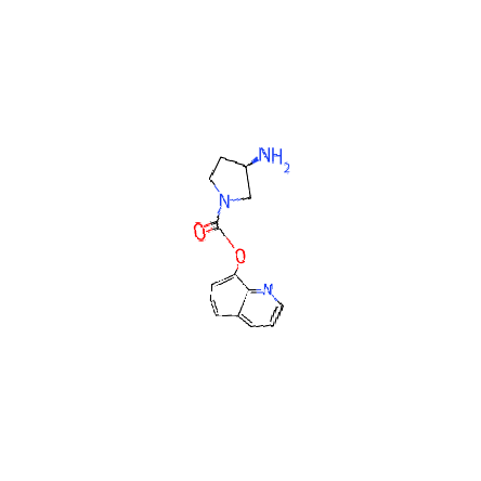 N[C@@H]1CCN(C(=O)Oc2cccc3cccnc23)C1